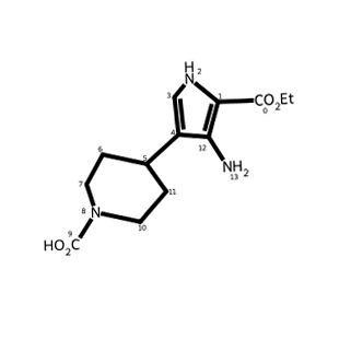 CCOC(=O)c1[nH]cc(C2CCN(C(=O)O)CC2)c1N